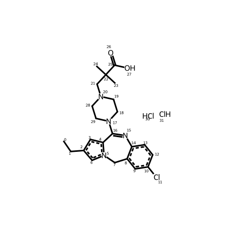 CCc1cc2n(c1)Cc1cc(Cl)ccc1N=C2N1CCN(CC(C)(C)C(=O)O)CC1.Cl.Cl